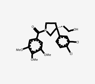 COc1cc(C(=O)N2CC[C@@](CCO)(c3ccc(Cl)c(Cl)c3)C2)cc(OC)c1OC